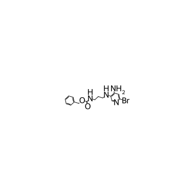 Nc1cc(Br)ncc1NCCCNC(=O)OCc1ccccc1